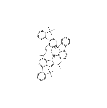 CC(C)C1=Cc2c(-c3ccccc3C(C)(C)C)cccc2[CH]1[Hf]([c]1cccc2c1[SiH2]c1ccccc1-2)[CH]1C(C(C)C)=Cc2c(-c3ccccc3C(C)(C)C)cccc21